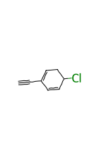 C#CC1=CCC(Cl)C=C1